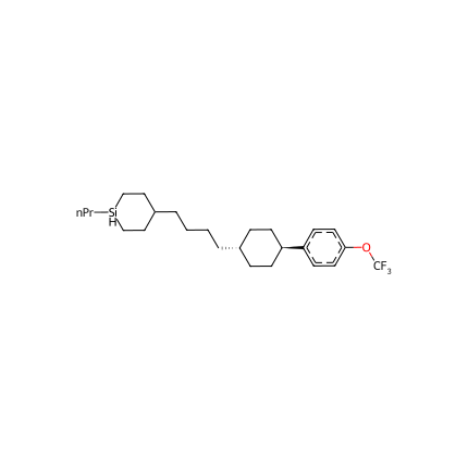 CCC[SiH]1CCC(CCCC[C@H]2CC[C@H](c3ccc(OC(F)(F)F)cc3)CC2)CC1